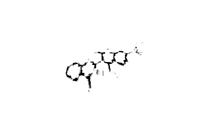 CCN(CC)c1ccc2c(C#N)c(-c3nc4ccccc4c(=O)[nH]3)c(=O)oc2c1